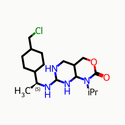 CC(C)N1C(=O)OCC2CNC(N[C@@H](C)C3CCC(CCl)CC3)NC21